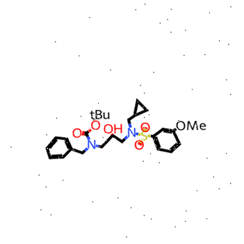 COc1cccc(S(=O)(=O)N(CC(O)CN(Cc2ccccc2)C(=O)OC(C)(C)C)CC2CC2)c1